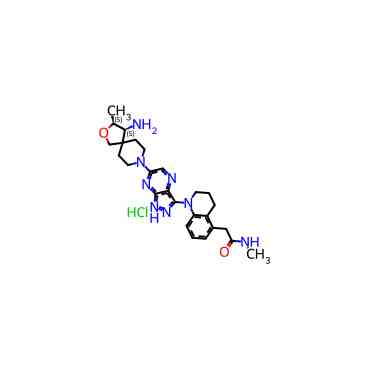 CNC(=O)Cc1cccc2c1CCCN2c1n[nH]c2nc(N3CCC4(CC3)CO[C@@H](C)[C@H]4N)cnc12.Cl